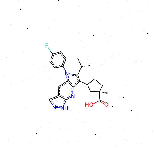 CC(C)c1c(C2CC[C@@](C)(C(=O)O)C2)c2nc3[nH]ncc3cc2n1-c1ccc(F)cc1